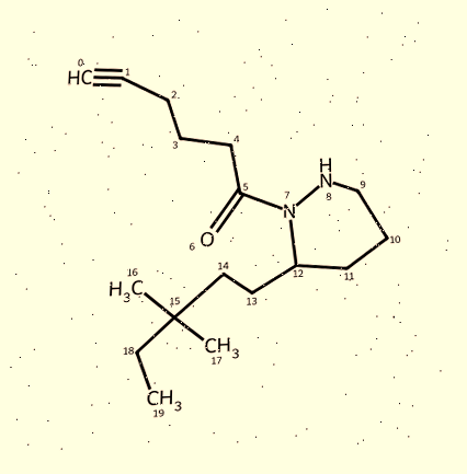 C#CCCCC(=O)N1NCCCC1CCC(C)(C)CC